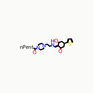 CCCCCC(=O)N1CCN(CCNC=C2C(=O)CC(c3cccs3)CC2=O)CC1